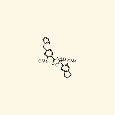 COc1cc(Cn2cccn2)ccc1C(=O)NS(=O)(=O)c1cc2c(cc1OC)CCC2